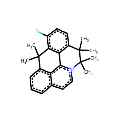 CC1(C)c2c(F)ccc3c2-c2c4c1cccc4cc[n+]2C(C)(C)C3(C)C